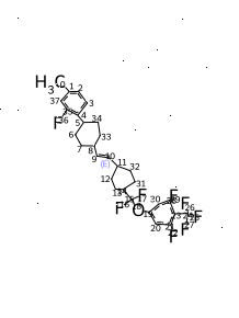 Cc1ccc(C2CCC(/C=C/C3CCC(C(F)(F)Oc4cc(F)c(C(F)(F)F)c(F)c4)CC3)CC2)c(F)c1